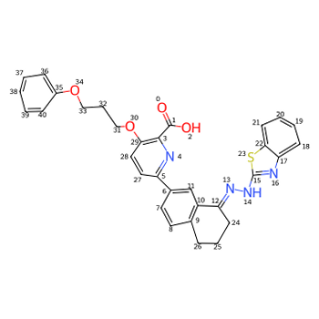 O=C(O)c1nc(-c2ccc3c(c2)/C(=N/Nc2nc4ccccc4s2)CCC3)ccc1OCCCOc1ccccc1